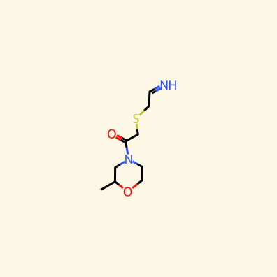 CC1CN(C(=O)CSCC=N)CCO1